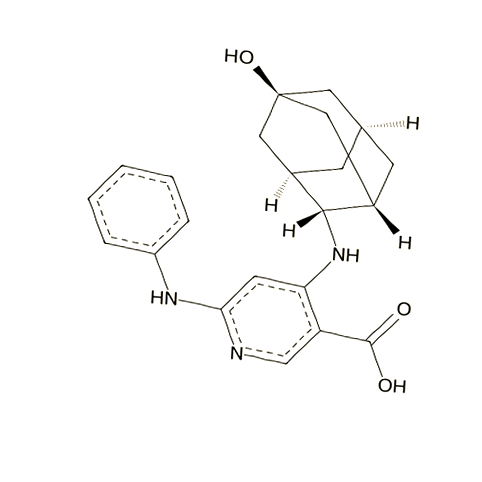 O=C(O)c1cnc(Nc2ccccc2)cc1N[C@@H]1[C@@H]2C[C@@H]3C[C@H]1C[C@@](O)(C3)C2